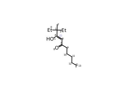 CCC(C)(CC)/C(O)=C/C(=O)CCCCF